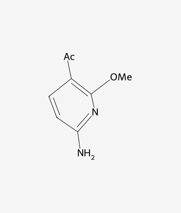 COc1nc(N)ccc1C(C)=O